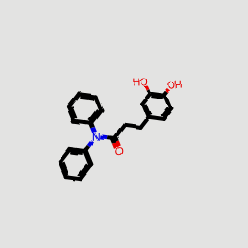 O=C(CCc1ccc(O)c(O)c1)N(c1ccccc1)c1ccccc1